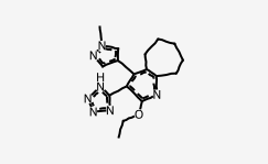 CCOc1nc2c(c(-c3cnn(C)c3)c1-c1nnn[nH]1)CCCCC2